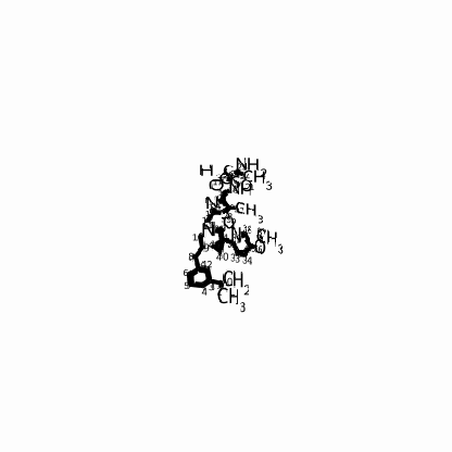 C=C(C)c1cccc(CCCN(Cc2nc(C(=O)NS(=O)(=O)C(C)(C)N)c(C)s2)C(=O)C2(c3ccc(OC)cn3)CC2)c1